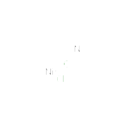 [Cl-].[Cl-].[Ni+2].[Ni]